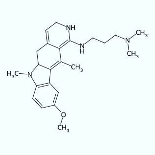 COc1ccc2c(c1)C1=C(C)C3=C(NCCCN(C)C)NCC=C3CC1N2C